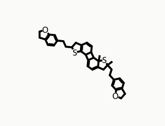 CC1(CCc2ccc3c(c2)OCC3)CC2=CC=C3C4C5=C(C=CC4C3C2(C)S1)CC(CCc1ccc2c(c1)OCC2)S5